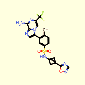 Cc1ccc(S(=O)(=O)NC23CC(c4ncno4)(C2)C3)cc1-c1cnc2c(N)nc(C(F)(F)F)cn12